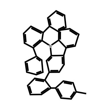 Cc1ccc(-c2ccccc2-c2ccc3c4ccccc4n(-c4c(-c5ccccc5)cccc4-c4ccccc4)c3c2)cc1